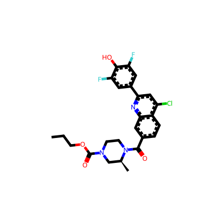 CCCOC(=O)N1CCN(C(=O)c2ccc3c(Cl)cc(-c4cc(F)c(O)c(F)c4)nc3c2)[C@@H](C)C1